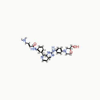 CN(C)C/C=C/C(=O)Nc1cccc(-c2nccc3cnc(Nc4ccc(N5CCOC(CO)C5)cc4)nc23)c1